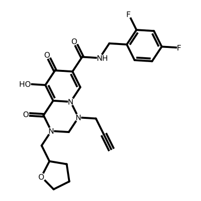 C#CCN1CN(CC2CCCO2)C(=O)c2c(O)c(=O)c(C(=O)NCc3ccc(F)cc3F)cn21